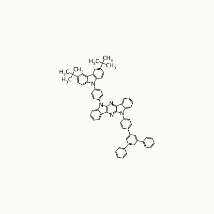 CC(C)(C)c1ccc2c(c1)c1cc(C(C)(C)C)ccc1n2-c1ccc(-n2c3ccccc3c3nc4c(nc32)c2ccccc2n4-c2ccc(-c3cc(-c4ccccc4)cc(-c4ccccc4)c3)cc2)cc1